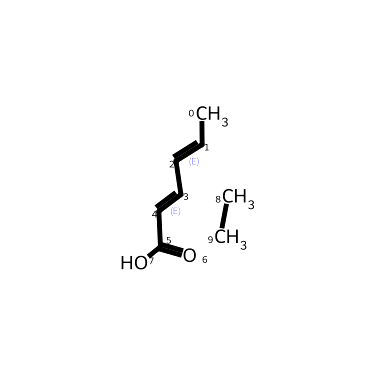 C/C=C/C=C/C(=O)O.CC